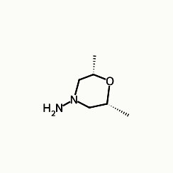 C[C@@H]1CN(N)C[C@H](C)O1